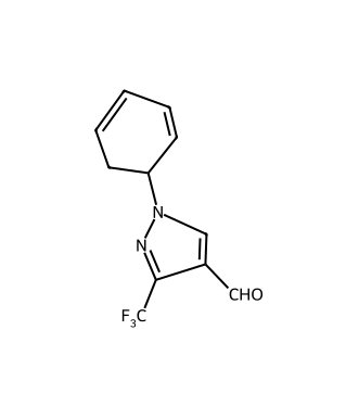 O=Cc1cn(C2C=CC=CC2)nc1C(F)(F)F